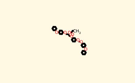 C=CC(=O)OC(COc1ccc(Oc2ccccc2)cc1)COc1cccc(OCOc2ccc(Oc3ccccc3)cc2)c1